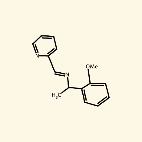 COc1ccccc1C(C)N=Cc1ccccn1